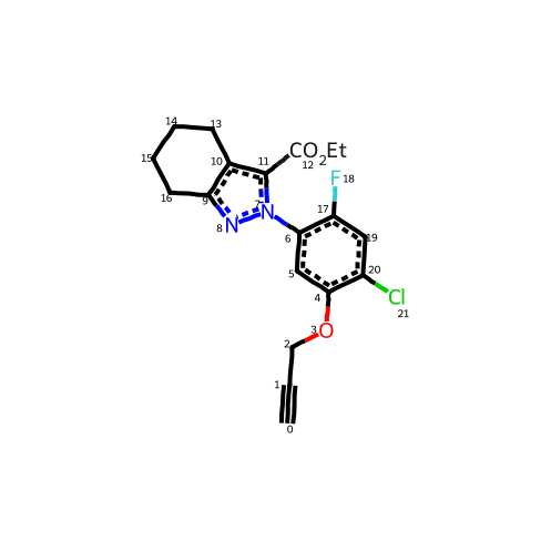 C#CCOc1cc(-n2nc3c(c2C(=O)OCC)CCCC3)c(F)cc1Cl